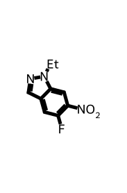 CCn1ncc2cc(F)c([N+](=O)[O-])cc21